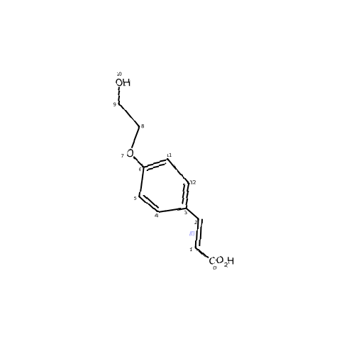 O=C(O)/C=C/c1ccc(OCCO)cc1